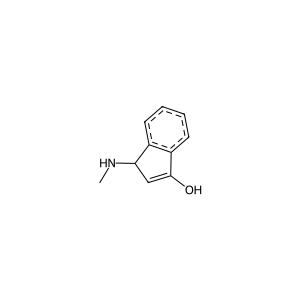 CNC1C=C(O)c2ccccc21